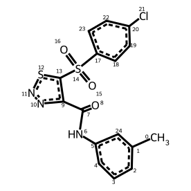 Cc1cccc(NC(=O)c2nnsc2S(=O)(=O)c2ccc(Cl)cc2)c1